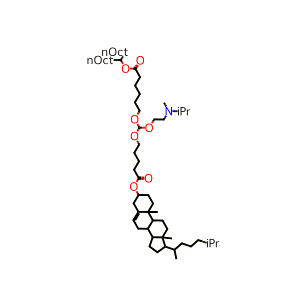 CCCCCCCCC(CCCCCCCC)OC(=O)CCCCCOC(OCCCCC(=O)OC1CCC2(C)C(=CCC3C2CCC2(C)C(C(C)CCCC(C)C)CCC32)C1)OCCN(C)C(C)C